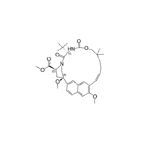 COC(=O)[C@@H]1C[C@]2(OC)CN1C(=O)[C@H](C(C)(C)C)NC(=O)OCC(C)(C)CCC=Cc1cc3cc2ccc3cc1OC